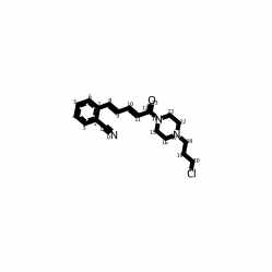 N#Cc1ccccc1C=CC=CC(=O)N1CCN(CCCCl)CC1